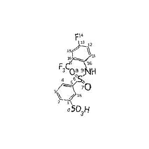 O=S(=O)(O)c1cccc(S(=O)(=O)Nc2ccc(F)cc2C(F)(F)F)c1